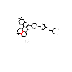 CC1(C)Cc2nc(C3CCN(c4ncc(OCC(CO)CO)cn4)CC3)c(C(F)c3ccc(C(F)(F)F)cc3)c(C3CCC(F)(F)CC3)c2[C@@H](O)C1.Cl.Cl